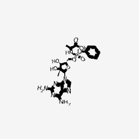 CC(NP(=O)(OC[C@@H]1O[C@@H](n2cnc3c(N)nc(N)nc32)[C@](C)(O)[C@@H]1O)Oc1ccccc1)C(=O)O